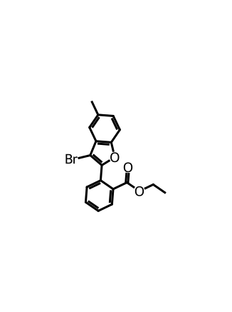 CCOC(=O)c1ccccc1-c1oc2ccc(C)cc2c1Br